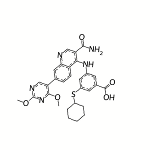 COc1ncc(-c2ccc3c(Nc4cc(SC5CCCCC5)cc(C(=O)O)c4)c(C(N)=O)cnc3c2)c(OC)n1